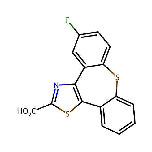 O=C(O)c1nc2c(s1)-c1ccccc1Sc1ccc(F)cc1-2